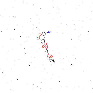 C=CC(=O)OCCCCOC(=O)Oc1ccc(C2OC2Oc2ccc(C#N)cc2)cc1